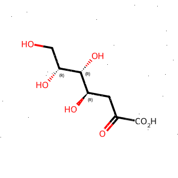 O=C(O)C(=O)C[C@@H](O)[C@@H](O)[C@H](O)CO